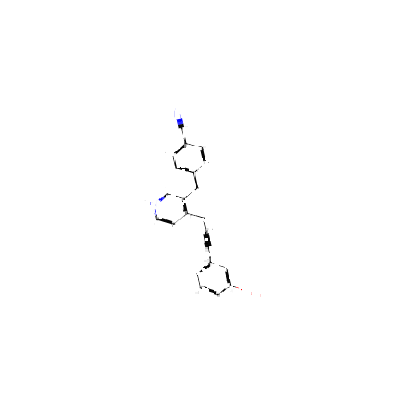 N#Cc1ccc(Cc2cnccc2CC#Cc2cccc(O)c2)cc1